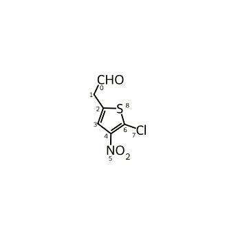 O=CCc1cc([N+](=O)[O-])c(Cl)s1